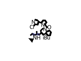 C/C=C(NC1CC1)/C(C)=C/C1=C(C(C)CC)c2ccccc2N(C(=O)c2cccc(-c3ccnc(Cl)c3)n2)CC1